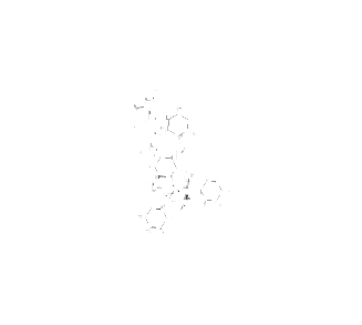 O=C(NC1CCCN2c3cc(Cl)c(N(S(=O)(=O)c4ccccc4)S(=O)(=O)c4ccccc4)cc3Oc3ccccc3C12)C(F)(F)F